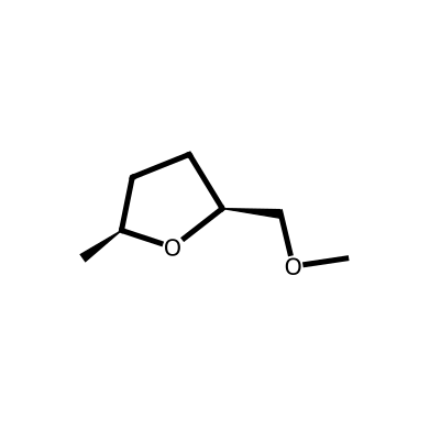 COC[C@@H]1CC[C@H](C)O1